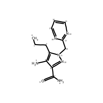 CCCc1c(N)c(C(N)=O)nn1Cc1ncccn1